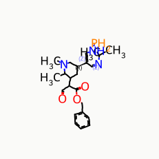 CC(C)/N=C\C(=C/NP)[C@H]1CC(C(C=O)C(=O)OCc2ccccc2)C(C)N(C)C1